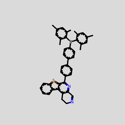 Cc1cc(C)c(B(c2ccc(-c3ccc(-c4nc5c(c6c4sc4ccccc46)CCN=C5)cc3)cc2)c2c(C)cc(C)cc2C)c(C)c1